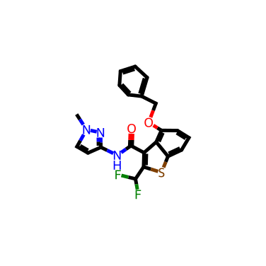 Cn1ccc(NC(=O)c2c(C(F)F)sc3cccc(OCc4ccccc4)c23)n1